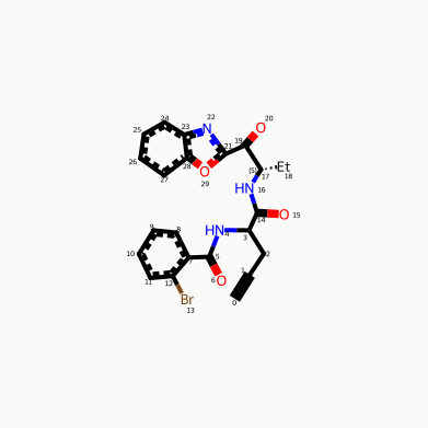 C#CCC(NC(=O)c1ccccc1Br)C(=O)N[C@@H](CC)C(=O)c1nc2ccccc2o1